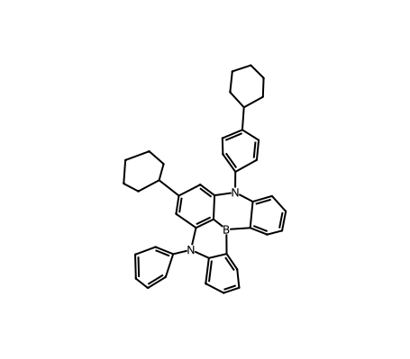 c1ccc(N2c3ccccc3B3c4ccccc4N(c4ccc(C5CCCCC5)cc4)c4cc(C5CCCCC5)cc2c43)cc1